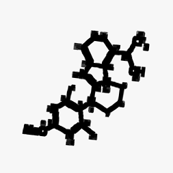 COc1nc(C)c(N2CCCn3c2nc2cccc(C(O)C(F)(F)F)c23)c(C)n1